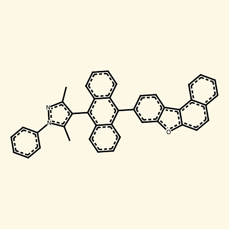 Cc1nn(-c2ccccc2)c(C)c1-c1c2ccccc2c(-c2ccc3c(c2)oc2ccc4ccccc4c23)c2ccccc12